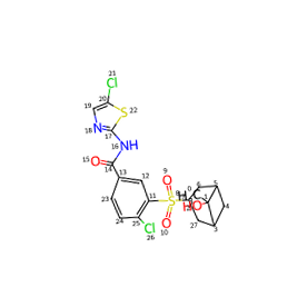 CC1(O)C2CC1CC(S(=O)(=O)c1cc(C(=O)Nc3ncc(Cl)s3)ccc1Cl)C2